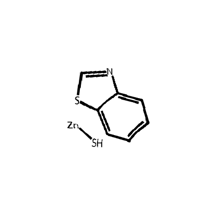 [SH][Zn].c1ccc2scnc2c1